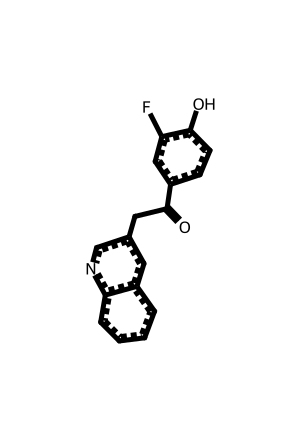 O=C(Cc1cnc2ccccc2c1)c1ccc(O)c(F)c1